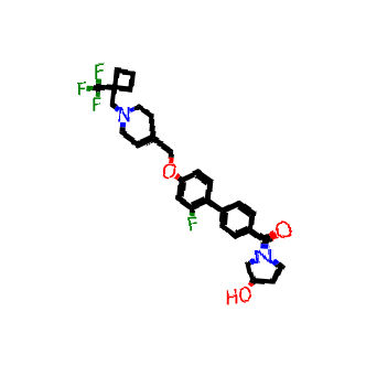 O=C(c1ccc(-c2ccc(OCC3CCN(CC4(C(F)(F)F)CCC4)CC3)cc2F)cc1)N1CCC(O)C1